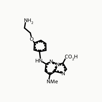 CNc1cc(Nc2cccc(OCCN)c2)nn2c(C(=O)O)cnc12